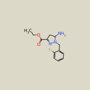 CCOC(=O)C1=NN(Cc2ccccc2F)C(N)C1